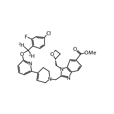 [2H]C([2H])(Oc1cccc(C2=CCN(Cc3nc4ccc(C(=O)OC)cc4n3C[C@@H]3CCO3)CC2)n1)c1ccc(Cl)cc1F